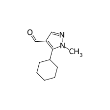 Cn1ncc(C=O)c1C1CCCCC1